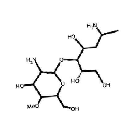 COC1C(CO)OC(OC(C(O)CC(C)N)[C@@H](O)CO)C(N)C1O